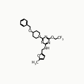 Cc1ccc(CNc2nc(OCC(F)(F)F)nc(N3CCC(OCc4ccccc4)CC3)n2)o1